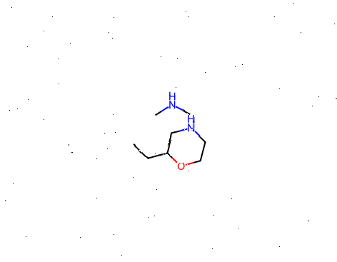 CCC1CNCCO1.CNC